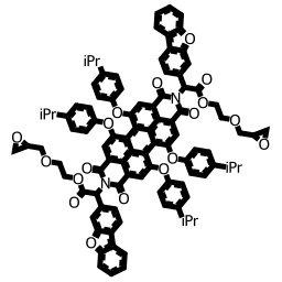 CC(C)c1ccc(Oc2cc3c4c(cc(Oc5ccc(C(C)C)cc5)c5c6c(Oc7ccc(C(C)C)cc7)cc7c8c(cc(Oc9ccc(C(C)C)cc9)c(c2c45)c86)C(=O)N(C(C(=O)OCCOCC2CO2)c2ccc4c(c2)oc2ccccc24)C7=O)C(=O)N(C(C(=O)OCCOCC2CO2)c2ccc4c(c2)oc2ccccc24)C3=O)cc1